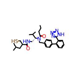 CCCC(=O)N(Cc1ccc(-c2ccccc2-c2nnn[nH]2)cc1)[C@H](CNC(=O)C(CS)CC(C)C)C(C)C